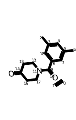 C=C.Cc1cc(C)cc(C(=O)N2CCC(=O)CC2)c1